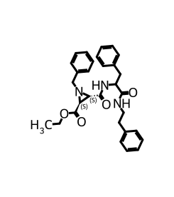 CCOC(=O)[C@@H]1[C@@H](C(=O)NC(Cc2ccccc2)C(=O)NCCc2ccccc2)N1Cc1ccccc1